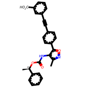 Cc1noc(-c2ccc(C#Cc3cccc(C(=O)O)c3)cc2)c1NC(=O)O[C@H](C)c1ccccc1